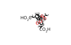 C=C(C)C(=O)O.C=CC(=O)O.C=CC(=O)OC1(CC)C2CC3CC(C2)CC1C3.O=C1CCCO1